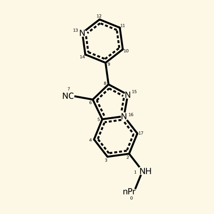 CCCNc1ccc2c(C#N)c(-c3cccnc3)nn2c1